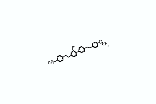 CCCc1ccc(CCc2ccc(-c3ccc(CCc4ccc(OC(F)(F)F)cc4)cc3)c(F)c2)cc1